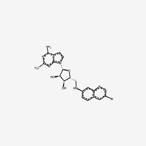 Cc1nc(N)c2ccn([C@@H]3O[C@H](CNc4ccc5cc(Br)cnc5c4)[C@@H](O)[C@H]3O)c2n1